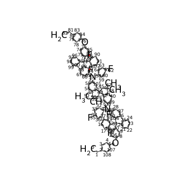 C=Cc1ccc(Oc2ccc(C3(c4c(F)cccc4F)c4ccccc4-c4ccc(N(c5ccc(F)cc5)c5ccc6c(c5)C5(CC6(C)C)CC(C)(C)c6ccc(N(c7ccc(F)cc7)c7ccc8c(c7)C(c7ccc(Oc9ccc(C=C)cc9)cc7)(c7c(F)cccc7F)c7ccccc7-8)cc65)cc43)cc2)cc1